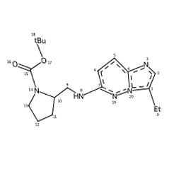 CCc1cnc2ccc(NCC3CCCN3C(=O)OC(C)(C)C)nn12